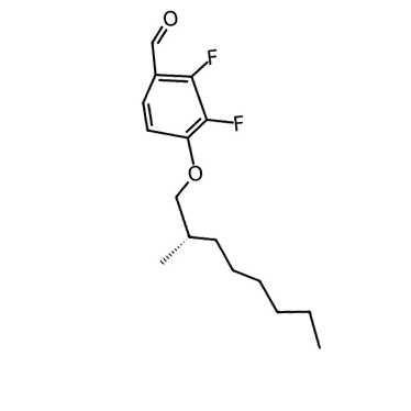 CCCCCC[C@H](C)COc1ccc(C=O)c(F)c1F